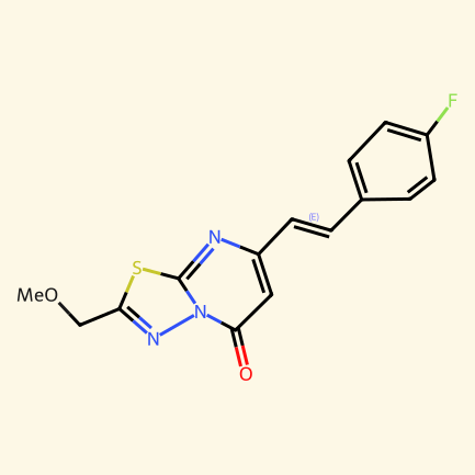 COCc1nn2c(=O)cc(/C=C/c3ccc(F)cc3)nc2s1